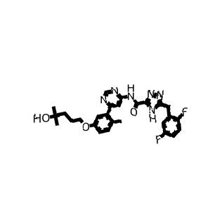 Cc1ccc(OCCCC(C)(C)O)cc1-c1cc(NC(=O)c2nnc(Cc3cc(F)ccc3F)[nH]2)ncn1